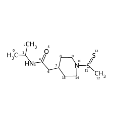 CC(C)NC(=O)CC1CCN(S(C)=S)CC1